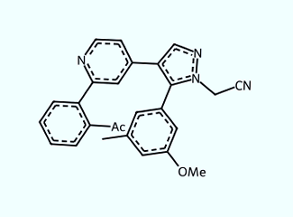 COc1cc(C)cc(-c2c(-c3ccnc(-c4ccccc4C(C)=O)c3)cnn2CC#N)c1